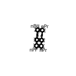 CCCC1CC=C(C#Cc2ccc(C3CCC(CCC)CC3)cc2)CC1.CCCCC1CC=C(C#Cc2ccc(C3CCC(CCC)CC3)cc2)CC1